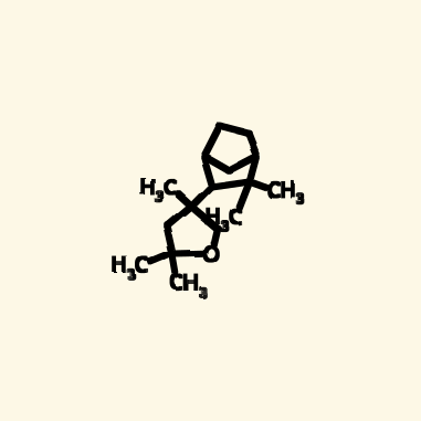 CC1(C)CC(C)(C2C3CCC(C3)C2(C)C)CO1